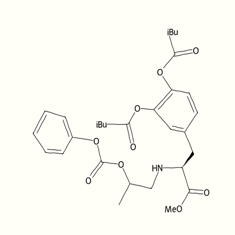 CCC(C)C(=O)Oc1ccc(C[C@H](NCC(C)OC(=O)Oc2ccccc2)C(=O)OC)cc1OC(=O)C(C)CC